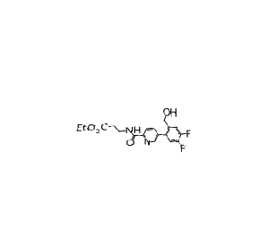 CCOC(=O)CCNC(=O)c1ccc(-c2cc(F)c(F)cc2CO)cn1